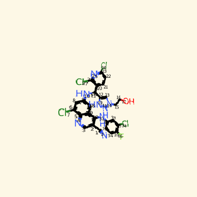 N#Cc1cnc2c(Cl)cc(N[C@H](C3=CN(CCO)NN3)c3ccc(Cl)nc3Cl)cc2c1Nc1ccc(F)c(Cl)c1